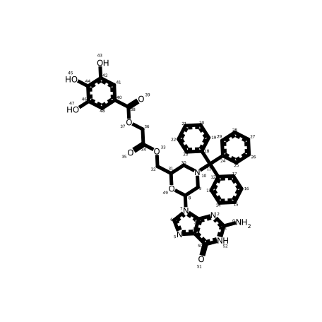 Nc1nc2c(ncn2C2CN(C(c3ccccc3)(c3ccccc3)c3ccccc3)CC(COC(=O)COC(=O)c3cc(O)c(O)c(O)c3)O2)c(=O)[nH]1